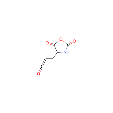 O=C=CCC1NC(=O)OC1=O